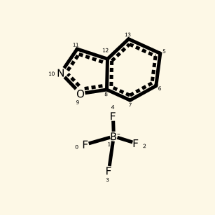 F[B-](F)(F)F.c1ccc2oncc2c1